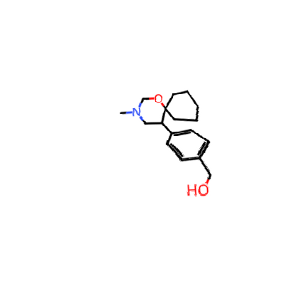 CN1COC2(CCCCC2)C(c2ccc(CO)cc2)C1